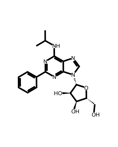 CC(C)Nc1nc(-c2ccccc2)nc2c1ncn2[C@@H]1O[C@H](CO)[C@@H](O)[C@H]1O